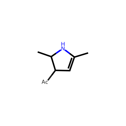 CC(=O)C1C=C(C)NC1C